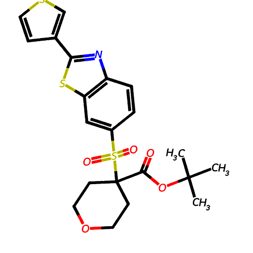 CC(C)(C)OC(=O)C1(S(=O)(=O)c2ccc3nc(-c4ccsc4)sc3c2)CCOCC1